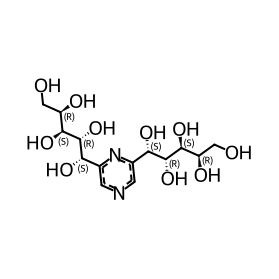 OC[C@@H](O)[C@H](O)[C@H](O)[C@@H](O)c1cncc([C@H](O)[C@@H](O)[C@@H](O)[C@H](O)CO)n1